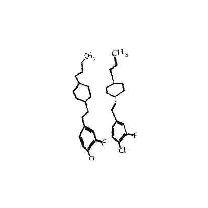 CCCCC1CCC(CCc2ccc(Cl)c(F)c2)CC1.CCC[C@H]1CC[C@H](CCc2ccc(Cl)c(F)c2)CC1